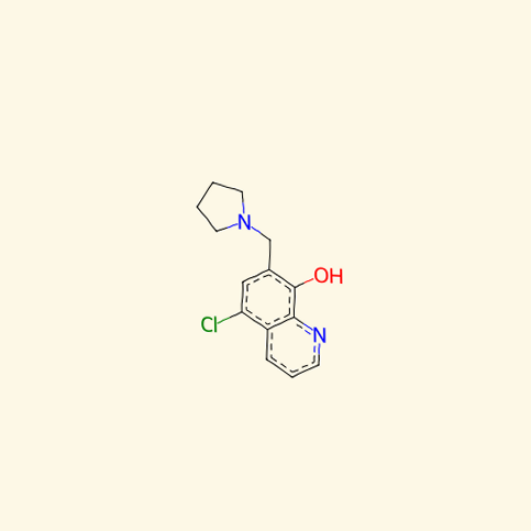 Oc1c(CN2CCCC2)cc(Cl)c2cccnc12